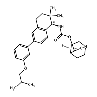 CC(C)COc1cccc(-c2ccc3c(c2)CCC(C)(C)[C@H]3NC(=O)O[C@H]2CN3CCC2CC3)c1